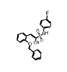 N#CC(=Cc1ccccc1OCc1ccccc1)S(=O)(=O)Nc1ccc(F)cc1